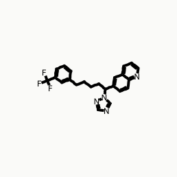 FC(F)(F)c1cccc(CCCCC(c2ccc3ncccc3c2)n2cncn2)c1